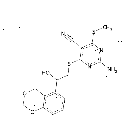 CSc1nc(N)nc(SCC(O)c2cccc3c2COCO3)c1C#N